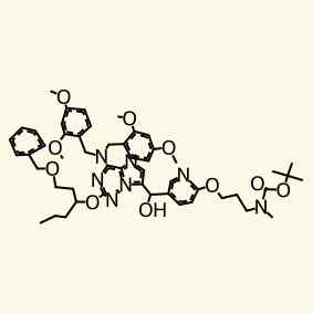 CCCC(CCOCc1ccccc1)Oc1nc(N(Cc2ccc(OC)cc2OC)Cc2ccc(OC)cc2OC)c2ncc(C(O)c3ccc(OCCCN(C)C(=O)OC(C)(C)C)nc3)n2n1